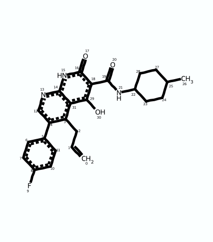 C=CCc1c(-c2ccc(F)cc2)cnc2[nH]c(=O)c(C(=O)NC3CCC(C)CC3)c(O)c12